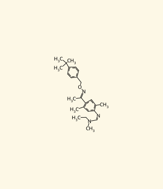 CCN(C)/C=N\c1cc(C)c(/C(C)=N/OCc2ccc(C(C)(C)C)cc2)cc1C